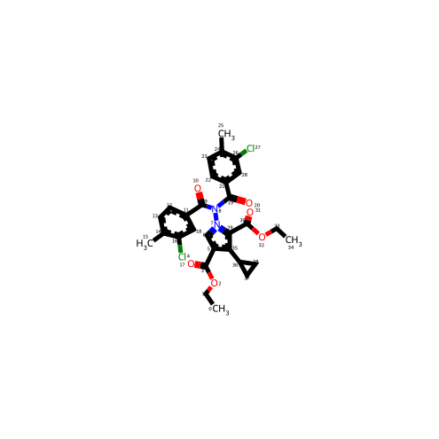 CCOC(=O)c1cn(N(C(=O)c2ccc(C)c(Cl)c2)C(=O)c2ccc(C)c(Cl)c2)c(C(=O)OCC)c1C1CC1